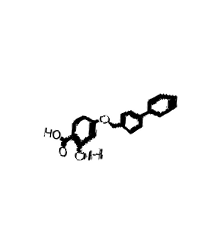 O=C(O)c1ccc(OCc2ccc(-c3ccccc3)cc2)cc1O